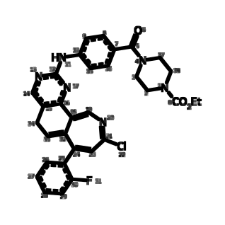 CCOC(=O)N1CCN(C(=O)c2ccc(Nc3ncc4c(n3)C3=CN=C(Cl)C=C(c5ccccc5F)C3=CC4)cc2)CC1